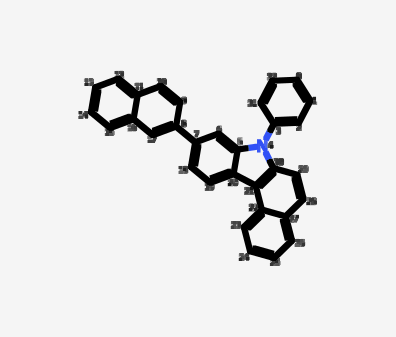 c1ccc(-n2c3cc(-c4ccc5ccccc5c4)ccc3c3c4ccccc4ccc32)cc1